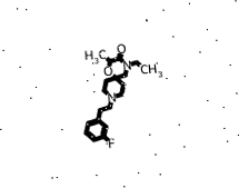 CCN1CC2(CCN(CCc3cccc(F)c3)CC2)OC(C)C1=O